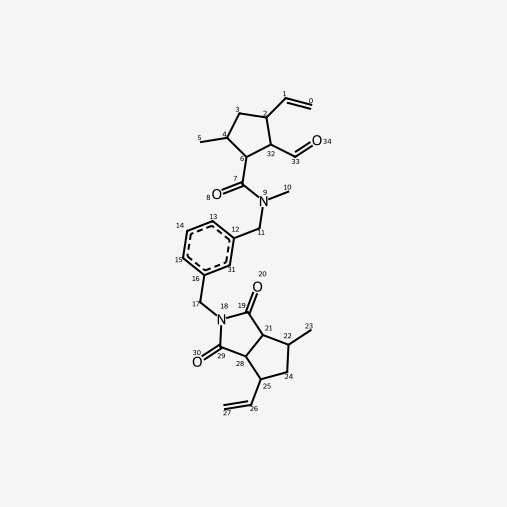 C=CC1CC(C)C(C(=O)N(C)Cc2cccc(CN3C(=O)C4C(C)CC(C=C)C4C3=O)c2)C1C=O